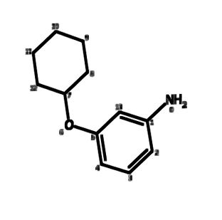 Nc1cccc(OC2CCCCC2)c1